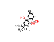 CCCCCCC(C)(C)c1cc(O)c(C2=C(CO)CCC(C)C2)c(O)c1